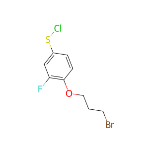 Fc1cc(SCl)ccc1OCCCBr